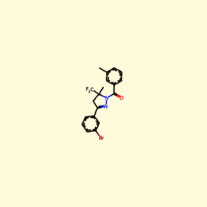 Cc1cccc(C(=O)N2N=C(c3cccc(Br)c3)CC2(C)C(F)(F)F)c1